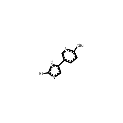 CCc1ncc(-c2ccc(C(C)(C)C)nc2)[nH]1